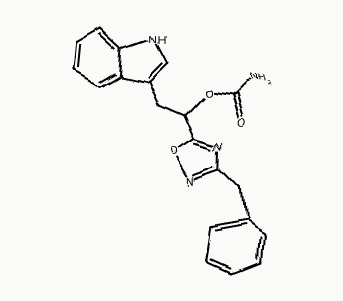 NC(=O)OC(Cc1c[nH]c2ccccc12)c1nc(Cc2ccccc2)no1